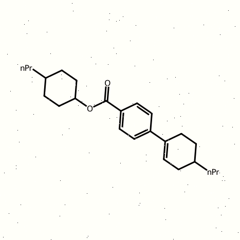 CCCC1CC=C(c2ccc(C(=O)OC3CCC(CCC)CC3)cc2)CC1